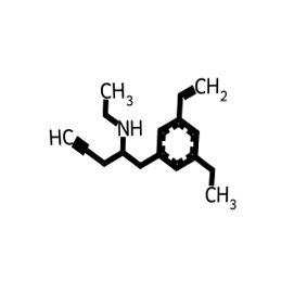 C#CCC(Cc1cc(C=C)cc(CC)c1)NCC